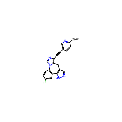 COc1ccc(C#Cc2ncn3c2Cc2cn[nH]c2-c2cc(Cl)ccc2-3)cn1